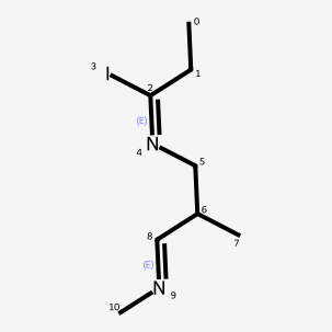 CC/C(I)=N\CC(C)/C=N/C